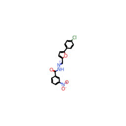 O=C(N/N=C/c1ccc(-c2ccc(Cl)cc2)o1)c1cccc([N+](=O)[O-])c1